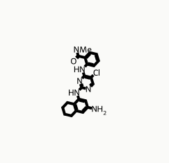 CNC(=O)c1ccccc1Nc1nc(Nc2cc(N)cc3c2CCCC3)ncc1Cl